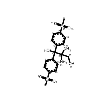 CS(=O)(=O)c1ccc(C(O)(c2ccc(S(C)(=O)=O)cc2)C(N)(N)CO)cc1